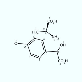 C[C@H](N)C(=O)O.O=C(O)C(O)c1ccc(Cl)cc1